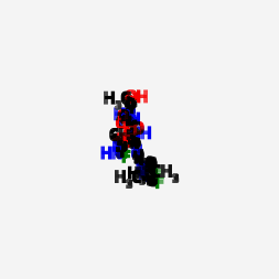 CCOc1nc2[nH]cc(F)c2cc1Oc1cc(N2CCC3(CC2)CC(N2C[C@@H](C)N(Cc4ccc(F)c(F)c4)C[C@H]2c2ccccc2C(C)C)C3)ccc1C(=O)NS(=O)(=O)c1cnc(NCC2CCC(C)(O)CC2)c([N+](=O)[O-])c1